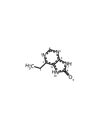 CCc1ncnc2[nH]c(=O)[nH]c12